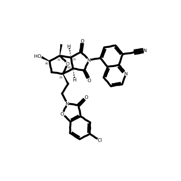 C[C@@]12O[C@@](CCn3oc4ccc(Cl)cc4c3=O)(C[C@H]1O)[C@@H]1C(=O)N(c3ccc(C#N)c4ncccc34)C(=O)[C@@H]12